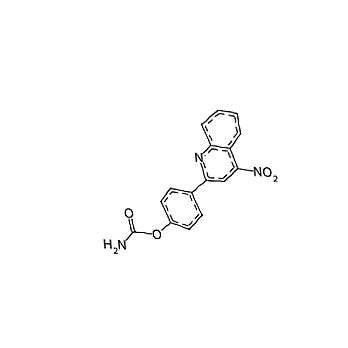 NC(=O)Oc1ccc(-c2cc([N+](=O)[O-])c3ccccc3n2)cc1